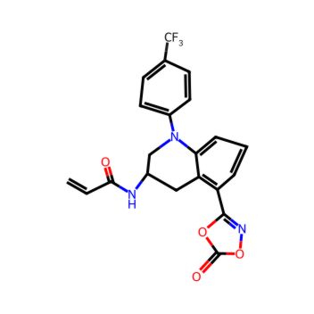 C=CC(=O)NC1Cc2c(-c3noc(=O)o3)cccc2N(c2ccc(C(F)(F)F)cc2)C1